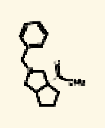 COC(=O)[C@]12CCCC1CN(Cc1ccccc1)C2